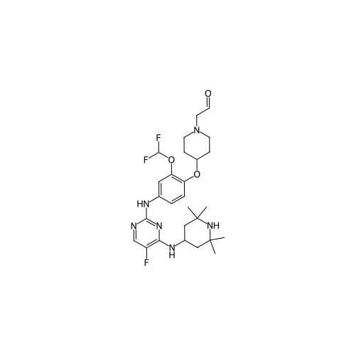 CC1(C)CC(Nc2nc(Nc3ccc(OC4CCN(CC=O)CC4)c(OC(F)F)c3)ncc2F)CC(C)(C)N1